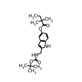 CCC(C)(C)C(=O)Oc1ccc2[nH]c(CNC(=O)OC(C)(C)C)cc2c1